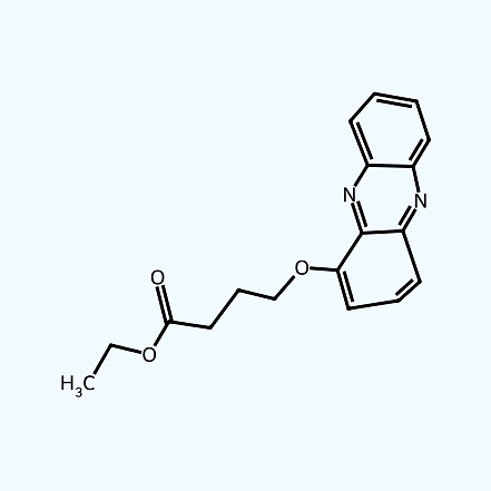 CCOC(=O)CCCOc1cccc2nc3ccccc3nc12